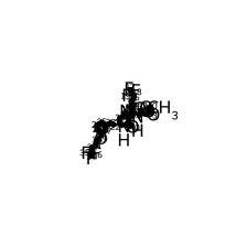 CS(=O)(=O)CC(=O)Nc1c2c(nn1CCCC(F)(F)F)C[C@H](CCc1cccc(OCCCC(F)(F)F)c1)NC2=O